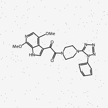 COc1ncc(OC)c2c(C(=O)C(=O)N3CCN(c4nnnn4-c4ccccc4)CC3)c[nH]c12